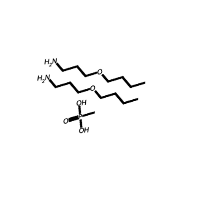 CCCCOCCCN.CCCCOCCCN.CP(=O)(O)O